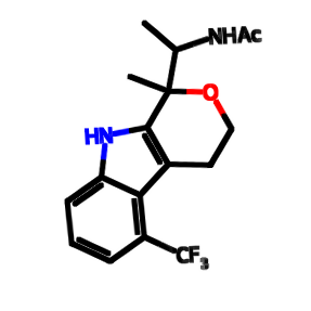 CC(=O)NC(C)C1(C)OCCc2c1[nH]c1cccc(C(F)(F)F)c21